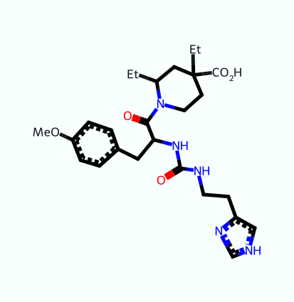 CCC1CC(CC)(C(=O)O)CCN1C(=O)C(Cc1ccc(OC)cc1)NC(=O)NCCc1c[nH]cn1